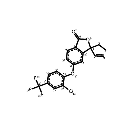 C=CC1(CC)OC(=O)c2ccc(Oc3ccc(C(F)(F)F)cc3Cl)cc21